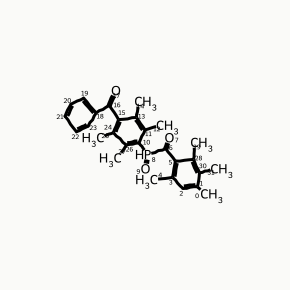 Cc1cc(C)c(C(=O)[PH](=O)c2c(C)c(C)c(C(=O)c3ccccc3)c(C)c2C)c(C)c1C